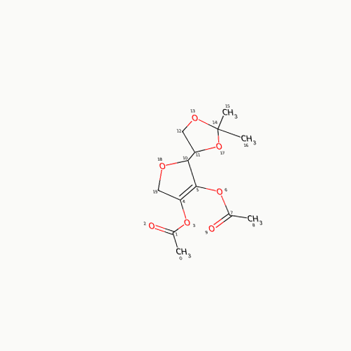 CC(=O)OC1=C(OC(C)=O)C(C2COC(C)(C)O2)OC1